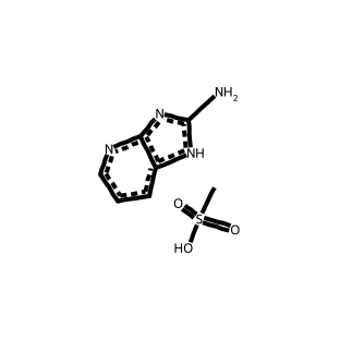 CS(=O)(=O)O.Nc1nc2ncccc2[nH]1